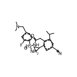 CC(C)c1cc(C#N)cc(C2CC2)c1CC(=O)N[SH](N)(=O)c1ccc(CN(C)C)cc1F